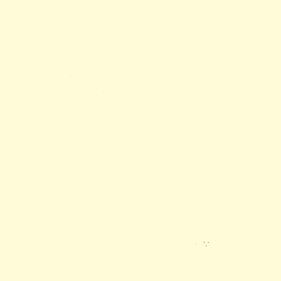 C=CC(=O)OCC1=CC=C(C2=CC=C(OC)CC2)CC1